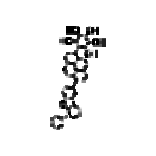 Oc1c(O)c(O)c(-c2ccc3ccc4c(-c5ccc6oc7c(-c8ccccc8)cccc7c6c5)ccc5ccc2c3c54)c(O)c1O